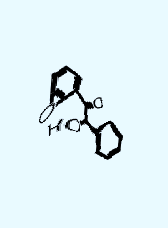 O=C(c1cccc2c1O2)C(O)c1ccccc1